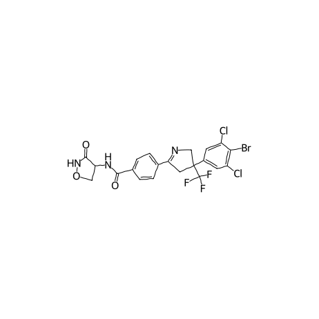 O=C(NC1CONC1=O)c1ccc(C2=NCC(c3cc(Cl)c(Br)c(Cl)c3)(C(F)(F)F)C2)cc1